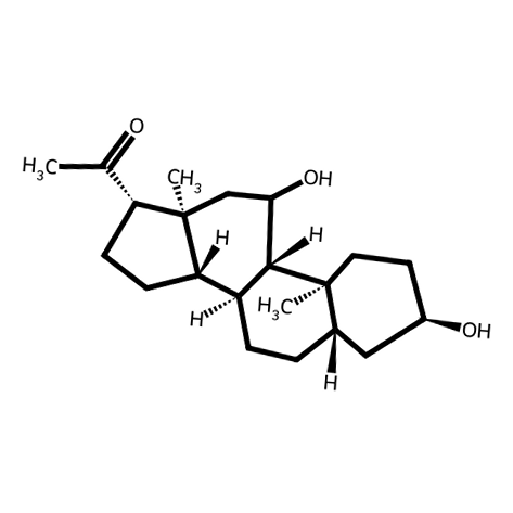 CC(=O)[C@H]1CC[C@H]2[C@@H]3CC[C@H]4C[C@H](O)CC[C@]4(C)[C@H]3C(O)C[C@]12C